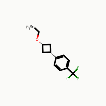 FC(F)(F)c1ccc([C@H]2C[C@@H](O[CH2][SnH3])C2)cc1